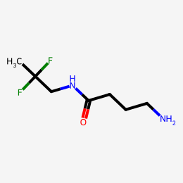 CC(F)(F)CNC(=O)CCCN